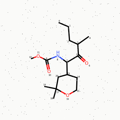 CCCC(C)C(=O)C(NC(=O)OC)C1CCOC(C)(C)C1